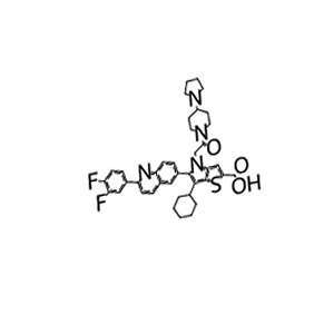 O=C(O)c1cc2c(s1)c(C1CCCCC1)c(-c1ccc3nc(-c4ccc(F)c(F)c4)ccc3c1)n2CC(=O)N1CCC(N2CCCC2)CC1